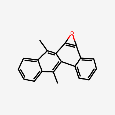 Cc1c2ccccc2c(C)c2c1c1c(c3ccccc32)O1